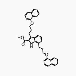 O=C(O)c1[nH]c2c(CCCOc3cccc4ccccc34)cccc2c1CCCOc1cccc2ccccc12